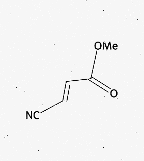 COC(=O)C=CC#N